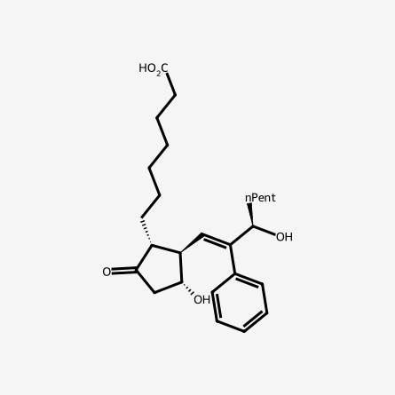 CCCCC[C@@H](O)/C(=C/[C@H]1[C@H](O)CC(=O)[C@@H]1CCCCCCC(=O)O)c1ccccc1